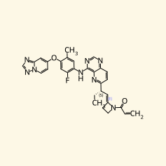 C=CC(=O)N1CC/C1=C\[C@H](CC)c1ccc2ncnc(Nc3cc(C)c(Oc4ccn5ncnc5c4)cc3F)c2n1